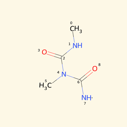 CNC(=O)N(C)C([NH])=O